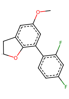 COc1cc2c(c(-c3ccc(F)cc3F)c1)O[CH]C2